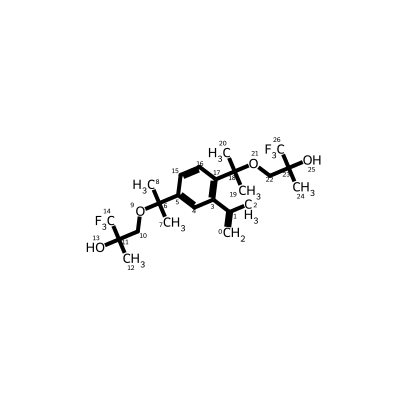 C=C(C)c1cc(C(C)(C)OCC(C)(O)C(F)(F)F)ccc1C(C)(C)OCC(C)(O)C(F)(F)F